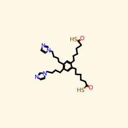 O=C(S)CCCCCc1cc(CCCCn2ccnc2)c(CCCCn2ccnc2)cc1CCCCCC(=O)S